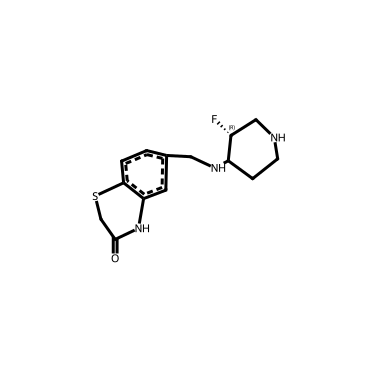 O=C1CSc2ccc(CNC3CCNC[C@H]3F)cc2N1